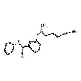 CN(CC=CC#CC(C)(C)C)Cc1cccc(C(=O)Nc2ccccc2)c1